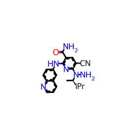 CC(C)[C@@H](C)N(N)c1nc(Nc2ccc3ncccc3c2)c(C(N)=O)cc1C#N